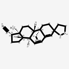 C[C@]12CC[C@H]3[C@@H](C=CC4=CC5(CCSS5)CC[C@@]43CO)[C@@H]1CC[C@@H]2C#N